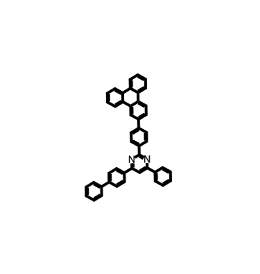 c1ccc(-c2ccc(-c3cc(-c4ccccc4)nc(-c4ccc(-c5ccc6c7ccccc7c7ccccc7c6c5)cc4)n3)cc2)cc1